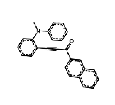 CN(c1ccccc1)c1ccccc1C#CC(=O)c1ccc2ccccc2c1